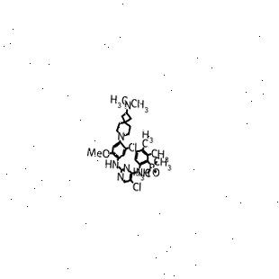 COc1cc(N2CCC3(CC2)CC(N(C)C)C3)c(Cl)cc1Nc1ncc(Cl)c(Nc2ccc(C)c(C)c2P(C)(C)=O)n1